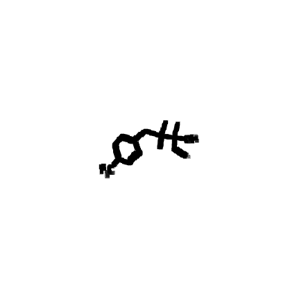 [CH]=CC(C)(O)C(C)(C)Cc1ccc(C(F)(F)F)cc1